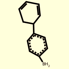 Bc1ccc(C2C=CC=CC2)cc1